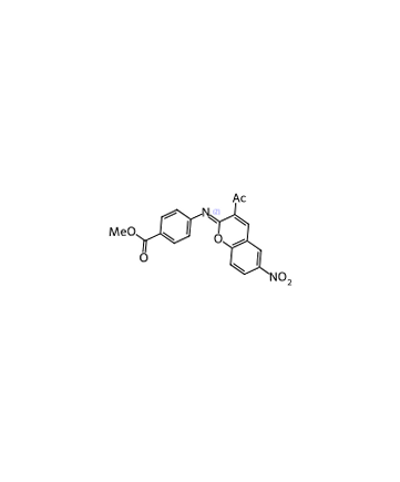 COC(=O)c1ccc(/N=c2\oc3ccc([N+](=O)[O-])cc3cc2C(C)=O)cc1